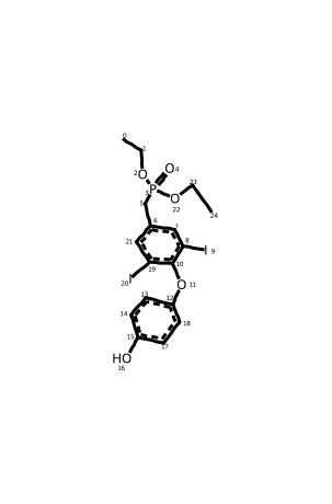 CCOP(=O)(Cc1cc(I)c(Oc2ccc(O)cc2)c(I)c1)OCC